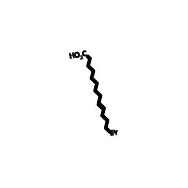 CC(C)CCCC=CCCCCCCCC(=O)O